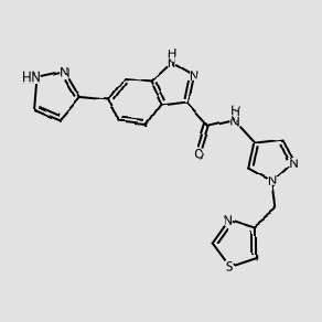 O=C(Nc1cnn(Cc2cscn2)c1)c1n[nH]c2cc(-c3cc[nH]n3)ccc12